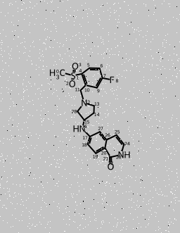 CS(=O)(=O)c1ccc(F)cc1CN1CCC(Nc2ccc3c(=O)[nH]ccc3c2)C1